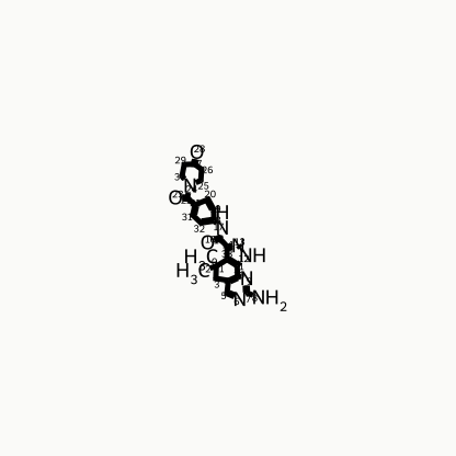 CC1(C)Cc2cnc(N)nc2-c2[nH]nc(C(=O)Nc3ccc(C(=O)N4CCC(=O)CC4)cc3)c21